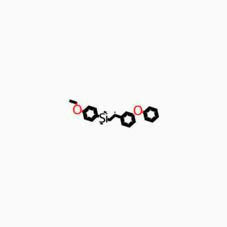 CCOc1ccc([Si](C)(C)C[CH]c2cccc(Oc3ccccc3)c2)cc1